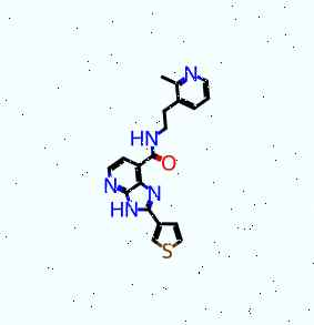 Cc1ncccc1CCNC(=O)c1ccnc2[nH]c(-c3ccsc3)nc12